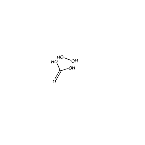 O=C(O)O.OO